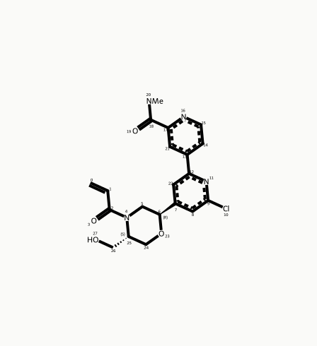 C=CC(=O)N1C[C@@H](c2cc(Cl)nc(-c3ccnc(C(=O)NC)c3)c2)OC[C@@H]1CO